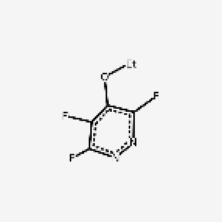 CCOc1c(F)nnc(F)c1F